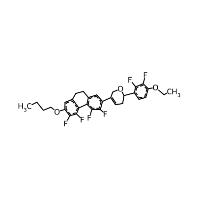 CCCCOc1cc2c(c(F)c1F)-c1c(cc(C3=CCC(c4ccc(OCC)c(F)c4F)OC3)c(F)c1F)CC2